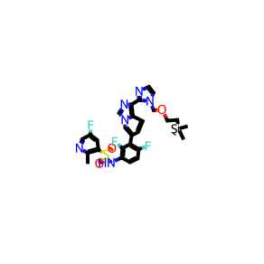 Cc1ncc(F)cc1S(=O)(=O)Nc1ccc(F)c(-c2ccc3c(-c4nccn4COCC[Si](C)(C)C)ncn3c2)c1F